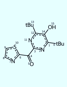 CC(C)(C)c1nc(C(=O)c2nccs2)nc(C(C)(C)C)c1O